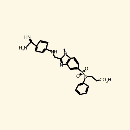 Cn1c(CNc2ccc(C(=N)N)cc2)nc2cc(S(=O)(=O)N(CCC(=O)O)c3ccccc3)ccc21